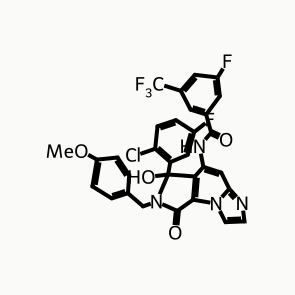 COc1ccc(CN2C(=O)c3c(c(NC(=O)c4cc(F)cc(C(F)(F)F)c4)cc4nccn34)C2(O)c2cc(F)ccc2Cl)cc1